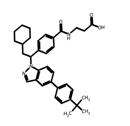 CC(C)(C)c1ccc(-c2ccc3c(cnn3C(CC3CCCCC3)c3ccc(C(=O)NCCC(=O)O)cc3)c2)cc1